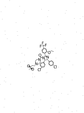 CCOc1cc(C(F)(F)F)ccc1C1=N[C@@H](c2ccc(Cl)cc2)[C@@H](c2ccc(Cl)cc2)N1C(=O)N1CCN(CCS(C)(=O)=O)CC1